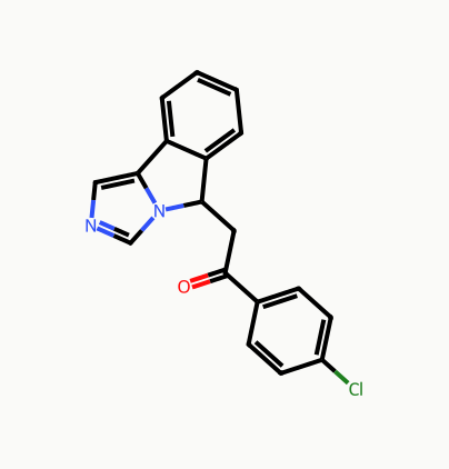 O=C(CC1c2ccccc2-c2cncn21)c1ccc(Cl)cc1